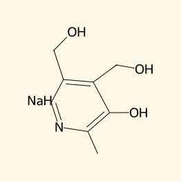 Cc1ncc(CO)c(CO)c1O.[NaH]